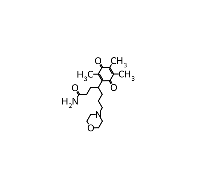 CC1=C(C)C(=O)C(C(CCCN2CCOCC2)CCC(N)=O)=C(C)C1=O